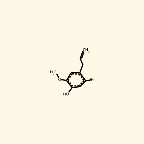 [2H]c1cc(O)c(OC)cc1CC=C